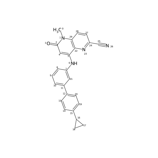 Cn1c(=O)cc(Nc2cccc(-c3ccc(C4CC4)cc3)c2)c2nc(C#N)ccc21